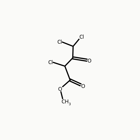 COC(=O)C(Cl)C(=O)C(Cl)Cl